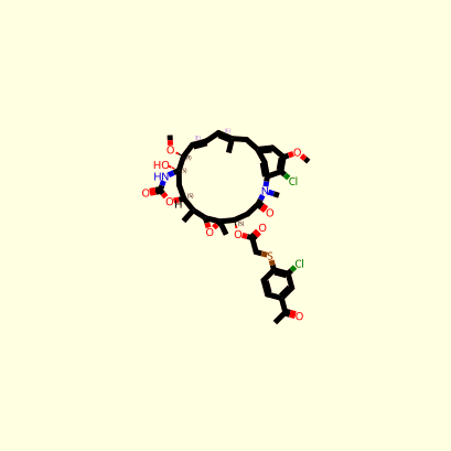 COc1cc2cc(c1Cl)N(C)C(=O)C[C@H](OC(=O)CSc1ccc(C(C)=O)cc1Cl)C1(C)OC1C(C)[C@@H]1C[C@@](O)(NC(=O)O1)[C@H](OC)/C=C/C=C(\C)C2